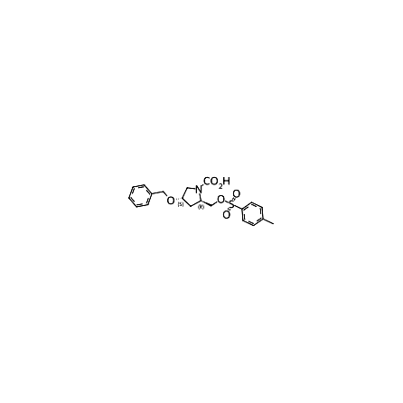 Cc1ccc(S(=O)(=O)OC[C@H]2C[C@H](OCc3ccccc3)CN2C(=O)O)cc1